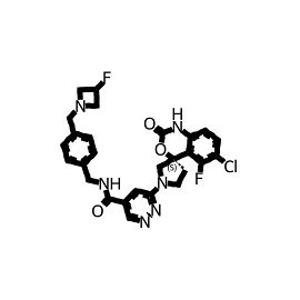 O=C1Nc2ccc(Cl)c(F)c2[C@]2(CCN(c3cc(C(=O)NCc4ccc(CN5CC(F)C5)cc4)cnn3)C2)O1